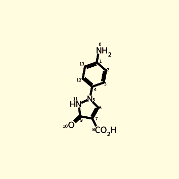 Nc1ccc(-n2cc(C(=O)O)c(=O)[nH]2)cc1